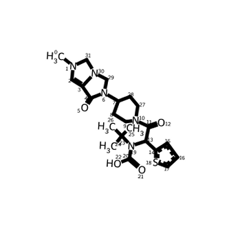 CN1C=C2C(=O)N(C3CCN(C(=O)C(c4cccs4)N(C(=O)O)C(C)(C)C)CC3)CN2C1